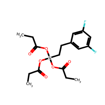 CCC(=O)O[Si](CCc1cc(F)cc(F)c1)(OC(=O)CC)OC(=O)CC